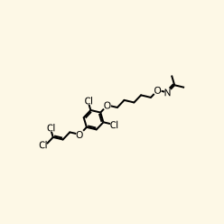 CC(C)=NOCCCCCOc1c(Cl)cc(OCC=C(Cl)Cl)cc1Cl